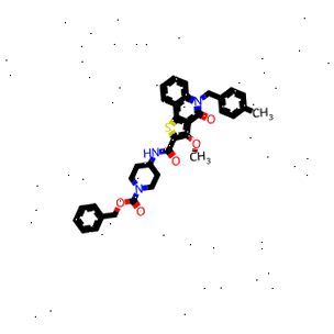 COc1c(C(=O)NC2CCN(C(=O)OCc3ccccc3)CC2)sc2c1c(=O)n(Cc1ccc(C)cc1)c1ccccc21